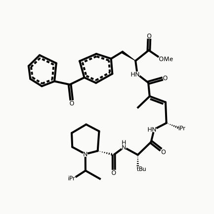 COC(=O)[C@H](Cc1ccc(C(=O)c2ccccc2)cc1)NC(=O)/C(C)=C/[C@@H](NC(=O)[C@@H](NC(=O)[C@H]1CCCCN1C(C)C(C)C)C(C)(C)C)C(C)C